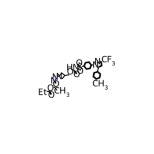 CCC(=O)OC(C)O/N=N\N1CC(COC(=O)NS(=O)(=O)c2ccc(-n3nc(C(F)(F)F)cc3-c3ccc(C)cc3)cc2)C1